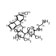 CC(NC(=O)C(C(C)C)N(CC1c2ccccc2-c2ccccc21)C(=O)O)C(=O)NCCN.Cl